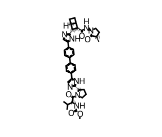 COC(=O)N[C@H](C(=O)N1CCC[C@H]1c1ncc(-c2ccc(-c3ccc(-c4cnc([C@H]5[C@H](C(=O)NN6CC[C@@H](C)C6=O)C6CC[C@@H]65)[nH]4)cc3)cc2)[nH]1)C(C)C